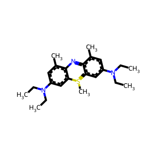 CCN(CC)c1cc(C)c2c(c1)S(C)=c1cc(N(CC)CC)cc(C)c1=N2